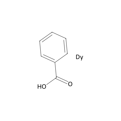 O=C(O)c1ccccc1.[Dy]